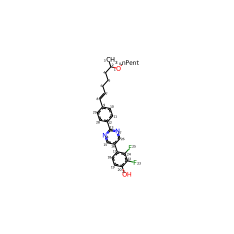 CCCCCOC(C)CCCC=Cc1ccc(-c2ncc(-c3ccc(O)c(F)c3F)cn2)cc1